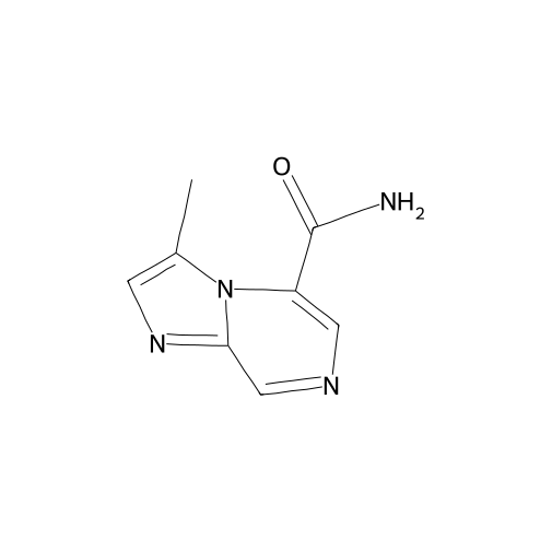 Cc1cnc2cncc(C(N)=O)n12